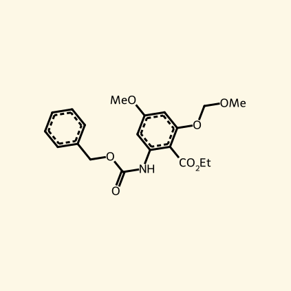 CCOC(=O)c1c(NC(=O)OCc2ccccc2)cc(OC)cc1OCOC